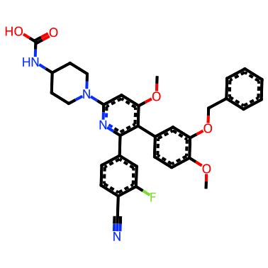 COc1ccc(-c2c(OC)cc(N3CCC(NC(=O)O)CC3)nc2-c2ccc(C#N)c(F)c2)cc1OCc1ccccc1